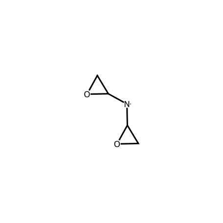 C1OC1[N]C1CO1